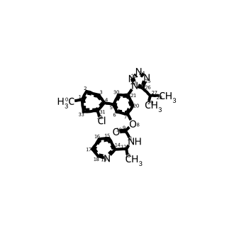 Cc1ccc(-c2cc(OC(=O)NC(C)c3ccccn3)cc(-n3nnnc3C(C)C)c2)c(Cl)c1